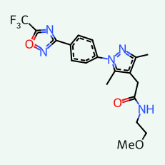 COCCNC(=O)Cc1c(C)nn(-c2ccc(-c3noc(C(F)(F)F)n3)cc2)c1C